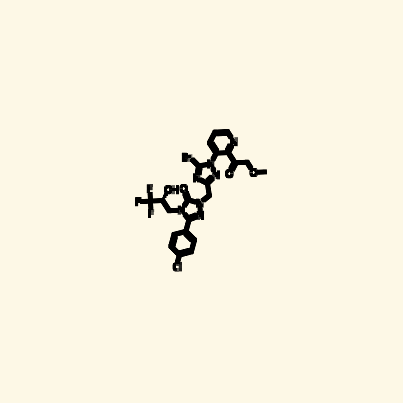 COCC(=O)c1ncccc1-n1nc(Cn2nc(-c3ccc(Cl)cc3)n(C[C@@H](O)C(F)(F)F)c2=O)nc1Br